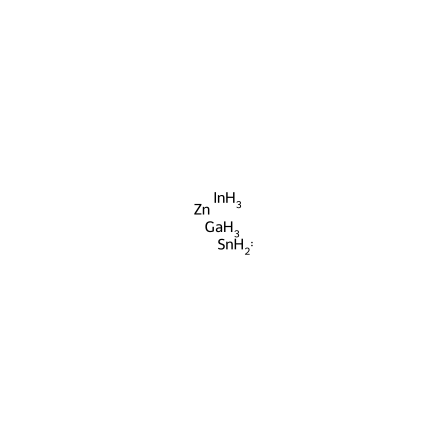 [GaH3].[InH3].[SnH2].[Zn]